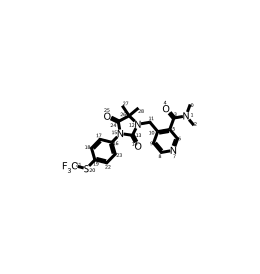 CN(C)C(=O)c1cnccc1CN1C(=O)N(c2ccc(SC(F)(F)F)cc2)C(=O)C1(C)C